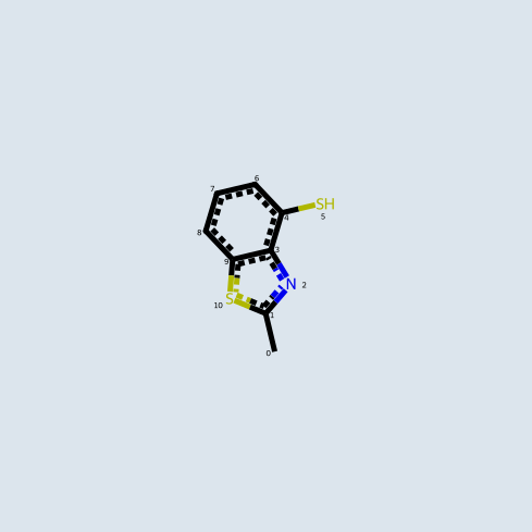 Cc1nc2c(S)cccc2s1